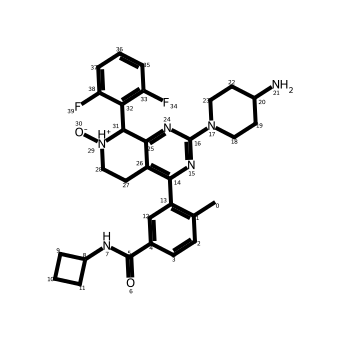 Cc1ccc(C(=O)NC2CCC2)cc1-c1nc(N2CCC(N)CC2)nc2c1CC[NH+]([O-])C2c1c(F)cccc1F